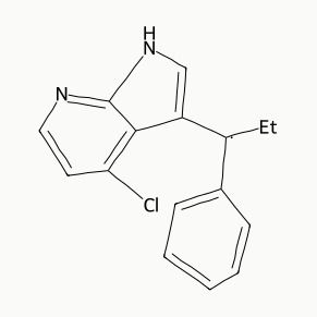 CC[C](c1ccccc1)c1c[nH]c2nccc(Cl)c12